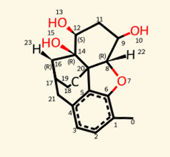 Cc1ccc2c3c1O[C@H]1C(O)C[C@H](O)[C@@]4(O)[C@H](CCCC314)C2